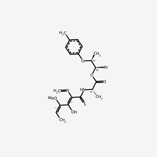 C=N/C(C(=S)N[C@@H](C)C(=O)O[C@H](C(C)C)[C@H](C)Oc1ccc(C)cc1)=C(O)\C(=C/C)OC